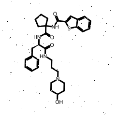 O=C(NC1(C(=O)N[C@H](Cc2ccccc2)C(=O)NCCCN2CCC(O)CC2)CCCC1)c1cc2ccccc2s1